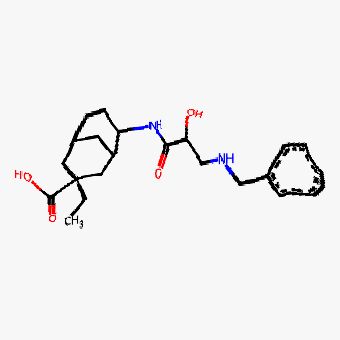 CC[C@@]1(C(=O)O)CC2CCC(NC(=O)C(O)CNCc3ccccc3)C(C2)C1